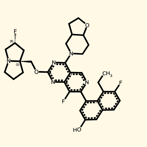 CCc1c(F)ccc2cc(O)cc(-c3ncc4c(N5CCC6OCCC6C5)nc(OC[C@@]56CCCN5C[C@H](F)C6)nc4c3F)c12